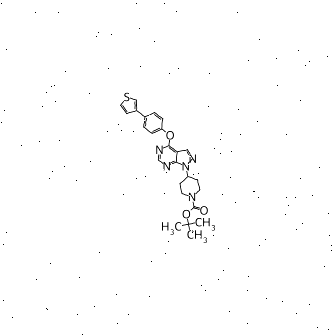 CC(C)(C)OC(=O)N1CCC(n2ncc3c(Oc4ccc(-c5ccsc5)cc4)ncnc32)CC1